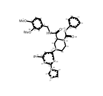 COc1ccc(CNC(=O)C2CN(c3cc(C(C)C)nc(-n4ccnc4)n3)CCN2C(=O)Oc2ccccc2)cc1OC